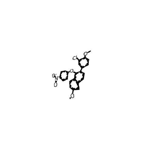 COc1ccc2c(Oc3ccc([N+](=O)[O-])cc3)c(-c3ccc(OC)c(Cl)c3)ccc2c1